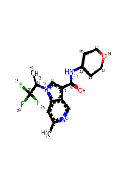 Cc1cc2c(cn1)c(C(=O)NC1CCOCC1)cn2C(C)C(F)(F)F